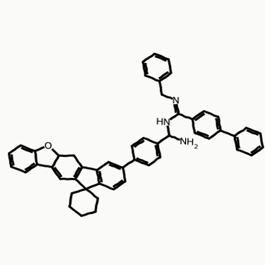 NC(N/C(=N\Cc1ccccc1)c1ccc(-c2ccccc2)cc1)c1ccc(-c2ccc3c(c2)C2=C(C=C4c5ccccc5OC4C2)C32CCCCC2)cc1